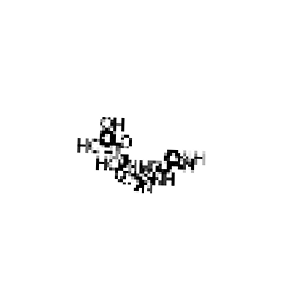 Cc1nc(NC(=O)Cc2cccc3[nH]ncc23)sc1C(=O)NC(CNC(=O)c1cc(O)cc(O)c1)C(=O)O